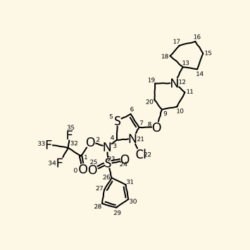 O=C(ON(C1SC=C(OC2CCN(C3CCCCC3)CC2)N1Cl)S(=O)(=O)c1ccccc1)C(F)(F)F